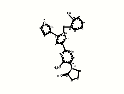 Nc1nc(-c2cc(-c3ccon3)n(Cc3ccccc3F)n2)ncc1N1CCCC1=O